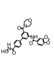 O=C(NO)c1ccc(-c2cc(NC(=O)c3ccc4c(c3)OCO4)cc(C(=O)N3CCOCC3)c2)cc1